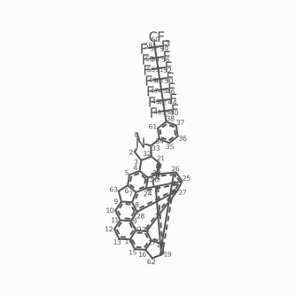 CN1CC2c3cc4c5c6c(cc7ccc8cc9c%10c%11c(cc(c%12c3c5c(c%12%11)c3c6c7c8c%103)C2C1c1cccc(C(F)(F)C(F)(F)C(F)(F)C(F)(F)C(F)(F)C(F)(F)C(F)(F)C(F)(F)F)c1)C9)C4